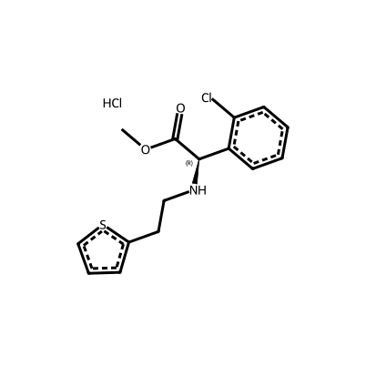 COC(=O)[C@H](NCCc1cccs1)c1ccccc1Cl.Cl